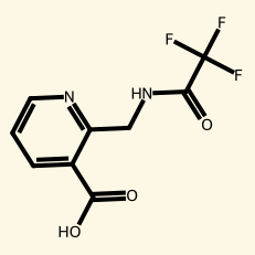 O=C(O)c1cccnc1CNC(=O)C(F)(F)F